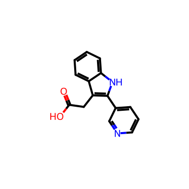 O=C(O)Cc1c(-c2cccnc2)[nH]c2ccccc12